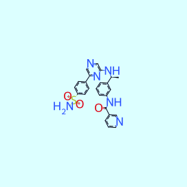 C[C@H](Nc1cncc(-c2ccc(S(N)(=O)=O)cc2)n1)c1cccc(NC(=O)c2cccnc2)c1